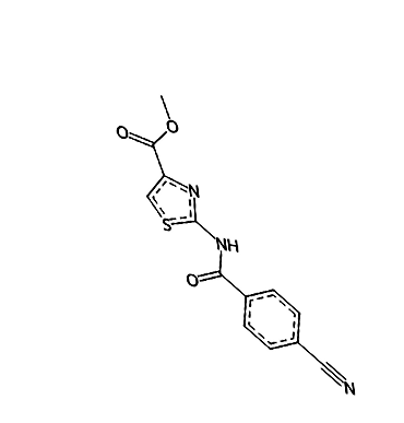 COC(=O)c1csc(NC(=O)c2ccc(C#N)cc2)n1